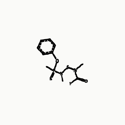 CN(SN(C)P(C)(=S)Oc1ccccc1)C(=O)F